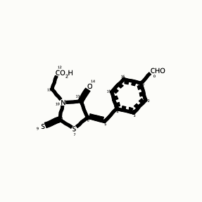 O=Cc1ccc(C=C2SC(=S)N(CC(=O)O)C2=O)cc1